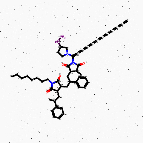 C=C=C=C=C=C=C=C=C=C=C=C(N1CCC(PP)C1)N1C(=O)C(C)C(CC(CC2C(=O)N(CCCCCCCC)C(=O)C2CC(C)c2ccccc2)c2ccccc2)C1=O